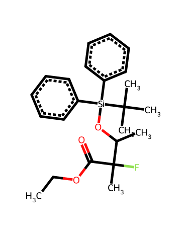 CCOC(=O)C(C)(F)C(C)O[Si](c1ccccc1)(c1ccccc1)C(C)(C)C